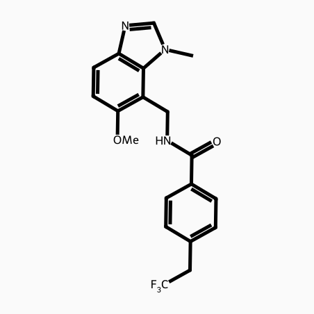 COc1ccc2ncn(C)c2c1CNC(=O)c1ccc(CC(F)(F)F)cc1